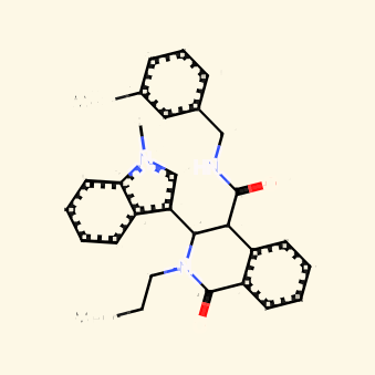 COCCN1C(=O)c2ccccc2C(C(=O)NCc2cccc(OC)c2)C1c1cn(C)c2ccccc12